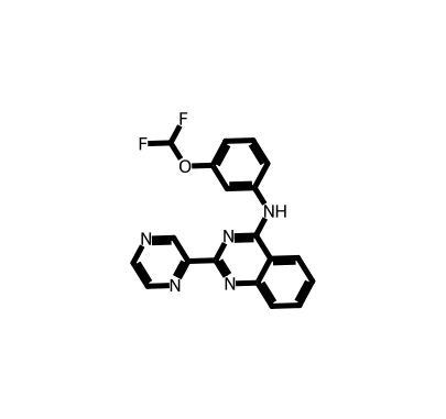 FC(F)Oc1cccc(Nc2nc(-c3cnccn3)nc3ccccc23)c1